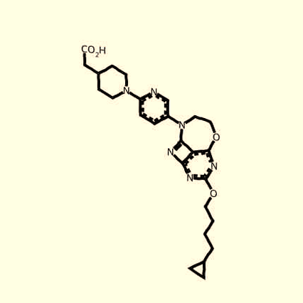 O=C(O)CC1CCN(c2ccc(N3CCOc4nc(OCCCCC5CC5)nc5c4C3=N5)cn2)CC1